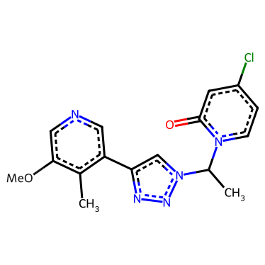 COc1cncc(-c2cn(C(C)n3ccc(Cl)cc3=O)nn2)c1C